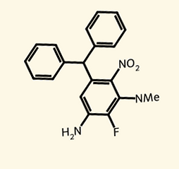 CNc1c(F)c(N)cc(C(c2ccccc2)c2ccccc2)c1[N+](=O)[O-]